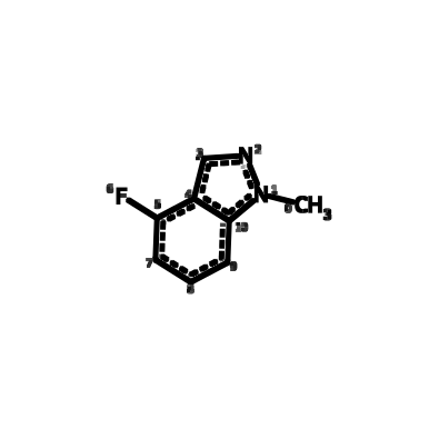 Cn1n[c]c2c(F)cccc21